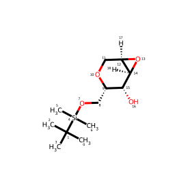 CC(C)(C)[Si](C)(C)OC[C@@H]1OC[C@H]2O[C@H]2[C@@H]1O